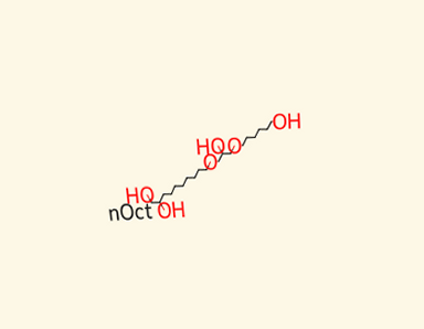 CCCCCCCCC(O)C(O)CCCCCCCCOCC(O)COCCCCCCO